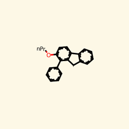 CCCOc1ccc2c(c1-c1ccccc1)[CH]c1ccccc1-2